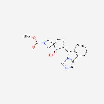 CC(C)(C)OC(=O)N1CC2(CC[C@H]([C@@H]3C4=C(CCC=C4)c4cncn43)[C@H]2O)C1